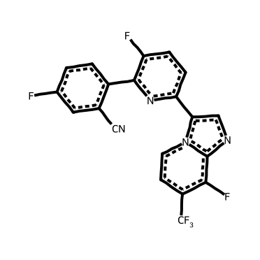 N#Cc1cc(F)ccc1-c1nc(-c2cnc3c(F)c(C(F)(F)F)ccn23)ccc1F